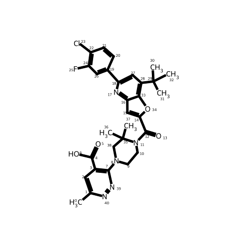 Cc1cc(C(=O)O)c(N2CCN(C(=O)c3cc4nc(-c5ccc(Cl)c(F)c5)cc(C(C)(C)C)c4o3)C(C)(C)C2)nn1